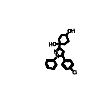 OC1CCC(O)(c2cc(-c3ccc(Cl)cc3)n(-c3ccccc3)n2)CC1